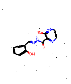 O=C(NN=Cc1ccccc1O)c1nccnc1O